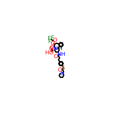 O=C(CCc1ccc(SC(=O)CN2CCCCC2)cc1)N[C@H]1C[C@@H]2c3ccccc3C[C@H](OC(=O)C(F)(F)F)C(=O)N2[C@H](C(=O)O)C1